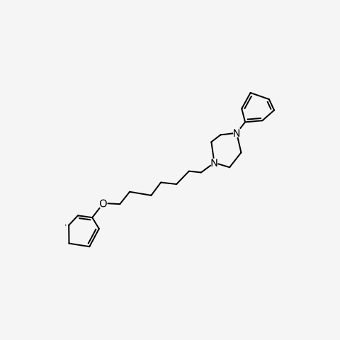 [CH]1C=C(OCCCCCCCN2CCN(c3ccccc3)CC2)C=CC1